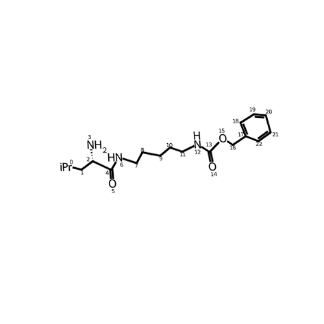 CC(C)C[C@H](N)C(=O)NCCCCCNC(=O)OCc1ccccc1